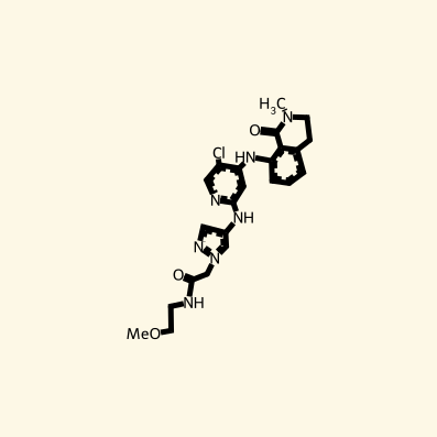 COCCNC(=O)Cn1cc(Nc2cc(Nc3cccc4c3C(=O)N(C)CC4)c(Cl)cn2)cn1